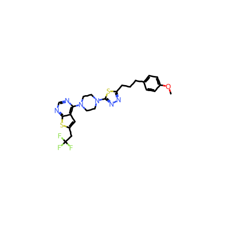 COc1ccc(CCCc2nnc(N3CCN(c4ncnc5sc(CC(F)(F)F)cc45)CC3)s2)cc1